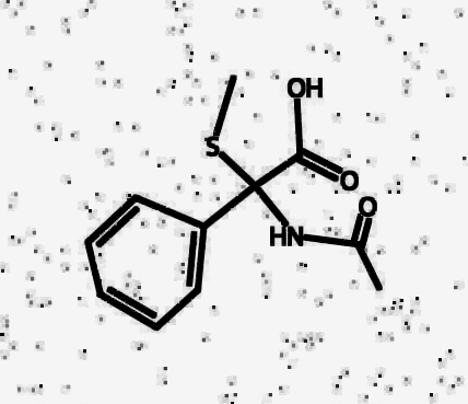 CSC(NC(C)=O)(C(=O)O)c1ccccc1